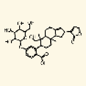 CC12CCC(c3cc(OC4OC(CO)C(O)C(O)C4O)ccc3C(=O)O)C(C)(CO)C1CCC1=CC(C3=CCOC3=O)CC12